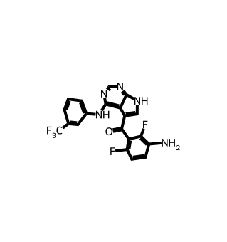 Nc1ccc(F)c(C(=O)c2c[nH]c3ncnc(Nc4cccc(C(F)(F)F)c4)c23)c1F